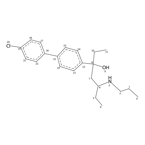 CCCNC(CC)CC(O)(CC)c1ccc(-c2ccc(Cl)cc2)cc1